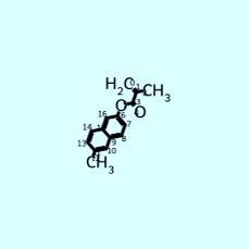 C=C(C)C(=O)Oc1ccc2cc(C)ccc2c1